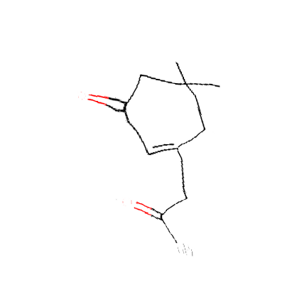 CCCC(=O)CC1=CC(=O)CC(C)(C)C1